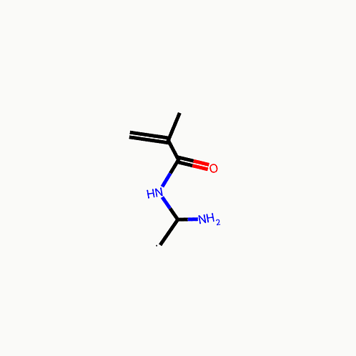 [CH2]C(N)NC(=O)C(=C)C